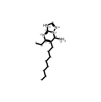 CCCCCCCCC1=C(CC)N=C2NC=NN2C1N